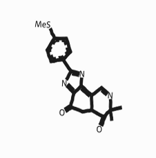 CSc1ccc(C2=NC3=C4C=NC(C)(C)C(=O)C4CC(=O)C3=N2)cc1